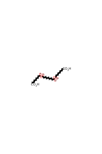 O=C(O)CCCCCCCC(=O)OC(=O)CCCCCCCC(=O)OC(=O)CCCCCCCC(=O)O